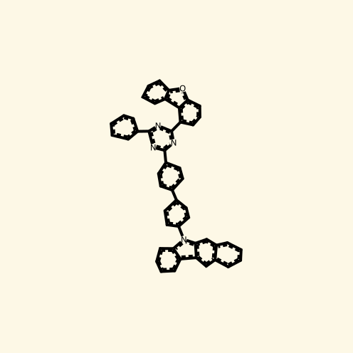 c1ccc(-c2nc(-c3ccc(-c4ccc(-n5c6ccccc6c6cc7ccccc7cc65)cc4)cc3)nc(-c3cccc4oc5ccccc5c34)n2)cc1